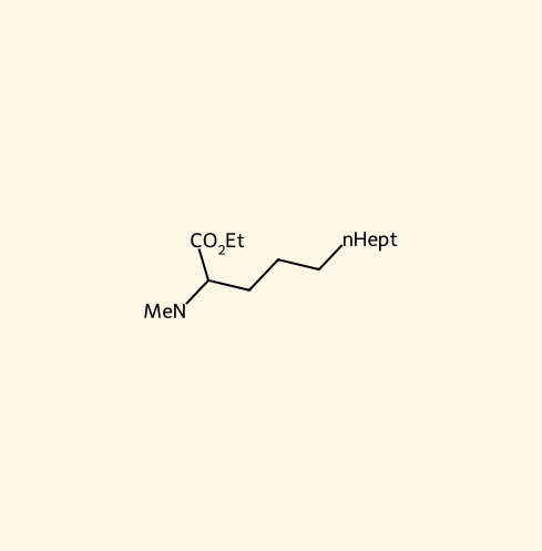 CCCCCCCCCCC(NC)C(=O)OCC